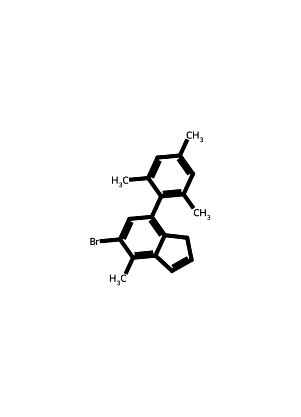 Cc1cc(C)c(-c2cc(Br)c(C)c3c2CC=C3)c(C)c1